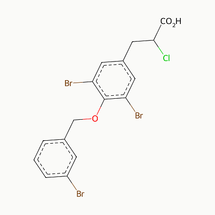 O=C(O)C(Cl)Cc1cc(Br)c(OCc2cccc(Br)c2)c(Br)c1